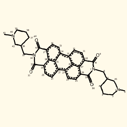 CN1CCCC(CN2C(=O)c3ccc4c5ccc6c7c(ccc(c8ccc(c3c48)C2=O)c75)C(=O)N(CC2CCCN(C)C2)C6=O)C1